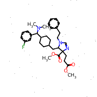 COC(=O)CCC1(C(=O)OC)N=CN(CCc2ccccc2)C1CC1CCC(C(c2cccc(F)c2)N(C)C)CC1